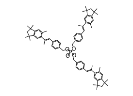 C/C(=C\c1ccc(COP(=O)(OCc2ccc(/C=C(\C)c3cc4c(cc3C)C(C)(C)CC4(C)C)cc2)OCc2ccc(/C=C(\C)c3cc4c(cc3C)C(C)(C)CC4(C)C)cc2)cc1)c1cc2c(cc1C)C(C)(C)CC2(C)C